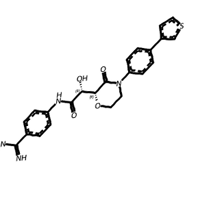 N=C(N)c1ccc(NC(=O)[C@H](O)[C@H]2OCCN(c3ccc(-c4ccsc4)cc3)C2=O)cc1